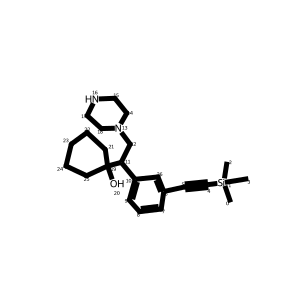 C[Si](C)(C)C#Cc1cccc(C(CN2CCNCC2)C2(O)CCCCC2)c1